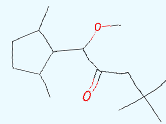 COC(C(=O)CC(C)(C)C)C1C(C)CCC1C